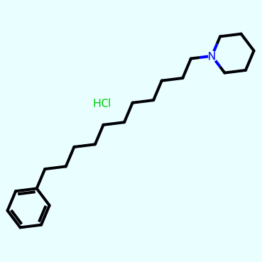 Cl.c1ccc(CCCCCCCCCCCN2CCCCC2)cc1